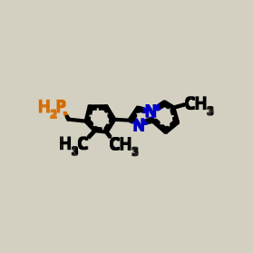 Cc1ccc2nc(-c3ccc(CP)c(C)c3C)cn2c1